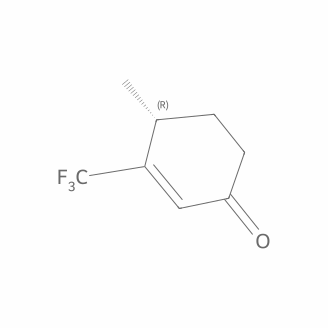 C[C@@H]1CCC(=O)C=C1C(F)(F)F